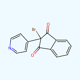 O=C1c2ccccc2C(=O)C1(Br)c1ccncc1